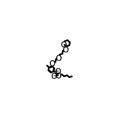 CCCCCOS(=O)(=O)c1ccc(C)c(OCCOCCCOC2CCCCO2)c1